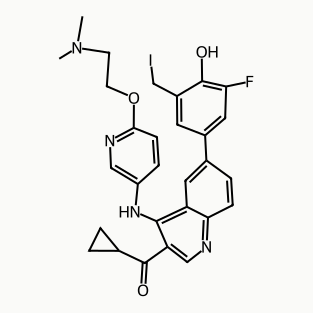 CN(C)CCOc1ccc(Nc2c(C(=O)C3CC3)cnc3ccc(-c4cc(F)c(O)c(CI)c4)cc23)cn1